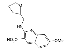 COc1ccc2cc(C(=O)O)c(NCC3CCCO3)nc2c1